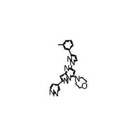 Cc1cccc(-c2ccn(-c3cc(N4CCOCC4)n4nc(-c5ccnnc5)cc4n3)n2)c1